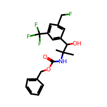 CC(C)(NC(=O)OCc1ccccc1)C(O)c1cc(CF)cc(C(F)(F)F)c1